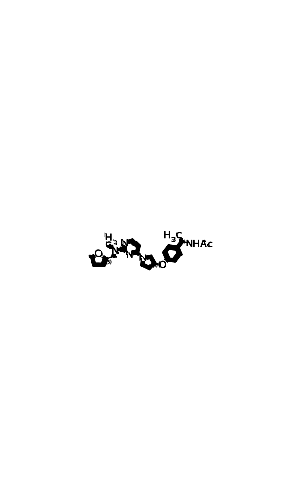 CC(=O)N[C@@H](C)c1ccc(O[C@@H]2CCN(c3ccnc(N(C)C[C@@H]4CCCO4)n3)C2)cc1